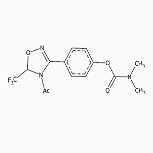 CC(=O)N1C(c2ccc(OC(=O)N(C)C)cc2)=NOC1C(F)(F)F